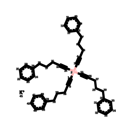 C(#C[B-](C#CCCCc1ccccc1)(C#CCCCc1ccccc1)C#CCCCc1ccccc1)CCCc1ccccc1.[K+]